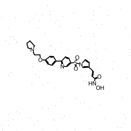 O=C(C=Cc1ccn(S(=O)(=O)c2ccc(-c3ccc(OCCN4CCCC4)cc3)nc2)c1)NO